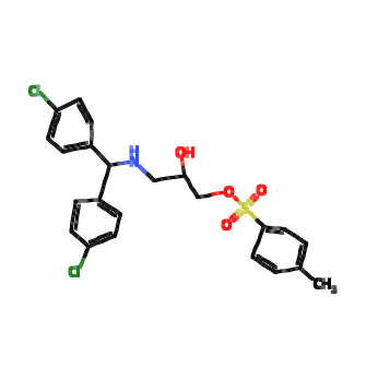 Cc1ccc(S(=O)(=O)OCC(O)CNC(c2ccc(Cl)cc2)c2ccc(Cl)cc2)cc1